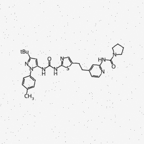 Cc1ccc(-n2nc(C(C)(C)C)cc2NC(=O)Nc2ncc(CCc3ccnc(NC(=O)N4CCCC4)c3)s2)cc1